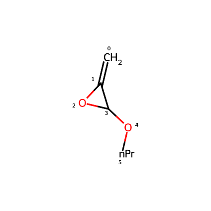 C=C1OC1OCCC